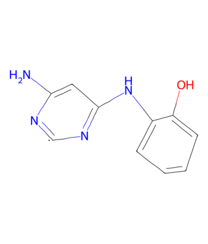 Nc1cc(Nc2ccccc2O)n[c]n1